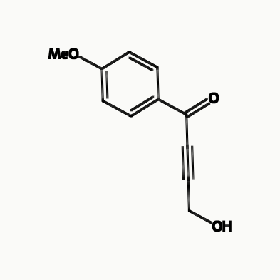 COc1ccc(C(=O)C#CCO)cc1